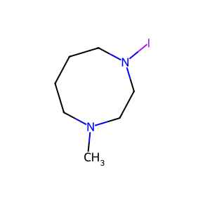 CN1CCCCN(I)CC1